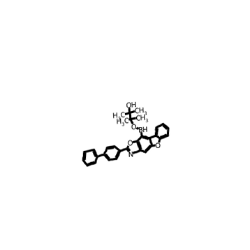 CC(C)(O)C(C)(C)OBc1c2oc(-c3ccc(-c4ccccc4)cc3)nc2cc2oc3ccccc3c12